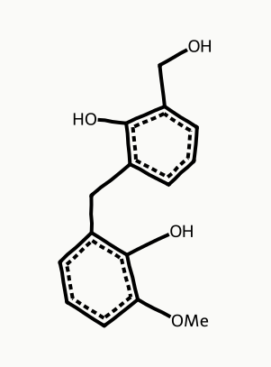 COc1cccc(Cc2cccc(CO)c2O)c1O